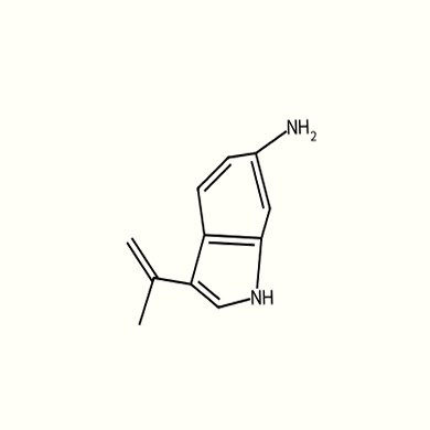 C=C(C)c1c[nH]c2cc(N)ccc12